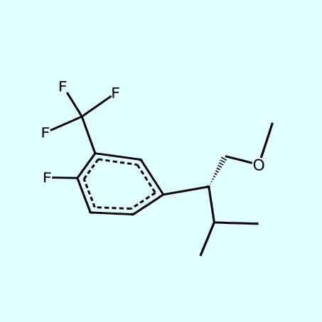 COC[C@@H](c1ccc(F)c(C(F)(F)F)c1)C(C)C